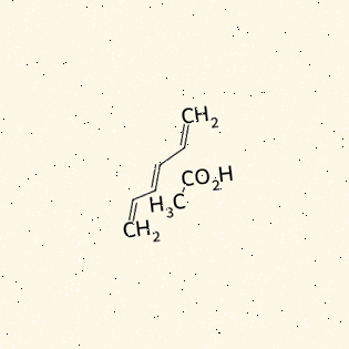 C=CC=CC=C.CC(=O)O